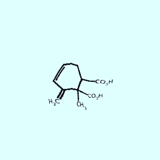 C=C1C=CCC(C(=O)O)C1(C)C(=O)O